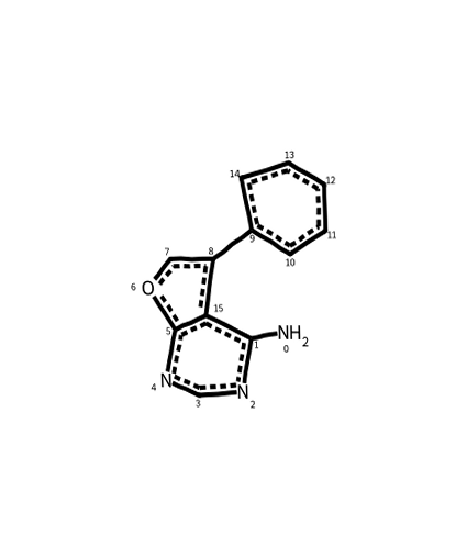 Nc1ncnc2occ(-c3ccccc3)c12